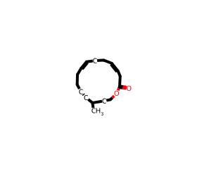 CC1CCCCC=CCCC=CCC(=O)OCC1